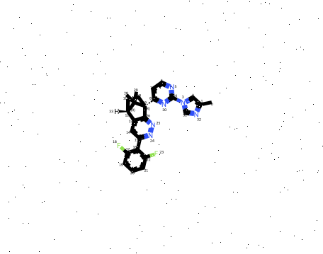 Cc1cn(-c2nccc([C@]34CC[C@@H](c5cc(-c6c(F)cccc6F)nnc53)C4(C)C)n2)cn1